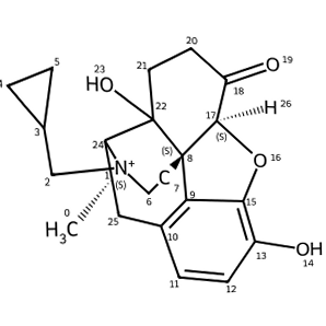 C[N@@+]1(CC2CC2)CC[C@]23c4c5ccc(O)c4O[C@@H]2C(=O)CCC3(O)C1C5